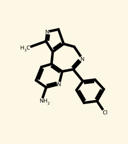 CC1=NCC2=C1c1ccc(N)nc1C(c1ccc(Cl)cc1)=NC2